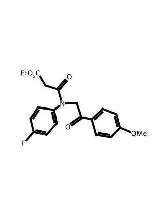 CCOC(=O)CC(=O)N(CC(=O)c1ccc(OC)cc1)c1ccc(F)cc1